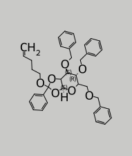 C=CCCCOC1(c2ccccc2)OC2[C@@H](OC(COCc3ccccc3)[C@@H](OCc3ccccc3)[C@@H]2OCc2ccccc2)O1